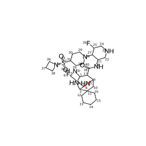 NC1NC2CC(F)CNC(CC23CCCCC3)C1C(=O)NC1CNCC(F)C1N1CCC(S(=O)(=O)N2CCC2)CC1